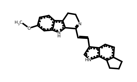 COc1ccc2c3c([nH]c2c1)C(/C=C/c1c[nH]c2c4c(ccc12)CCC4)=NCC3